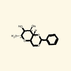 C[C@H]1OC2COC(c3ccccc3)O[C@H]2[C@H](O)C1O